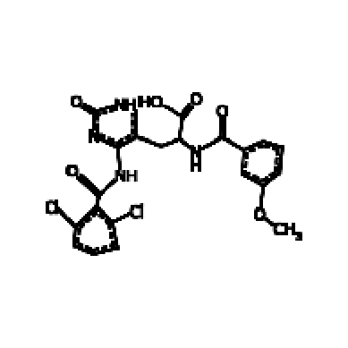 COc1cccc(C(=O)NC(Cc2c[nH]c(=O)nc2NC(=O)c2c(Cl)cccc2Cl)C(=O)O)c1